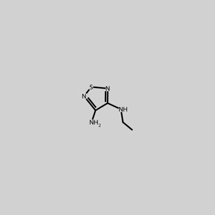 CCNc1nsnc1N